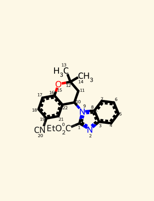 CCOC(=O)c1nc2ccccc2n1C1CC(C)(C)Oc2ccc(C#N)cc21